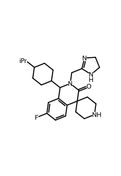 CC(C)C1CCC(C2c3cc(F)ccc3C3(CCNCC3)C(=O)N2CC2=NCCN2)CC1